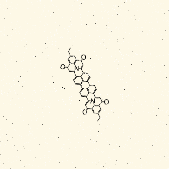 CCc1cc2c(=O)cc3c4ccc5c6ccc7c8c(ccc(c9ccc(c4c59)c4cc(=O)c(c1)c2n34)c68)c1cc(=O)c2cc(CC)cc3c(=O)cc7n1c32